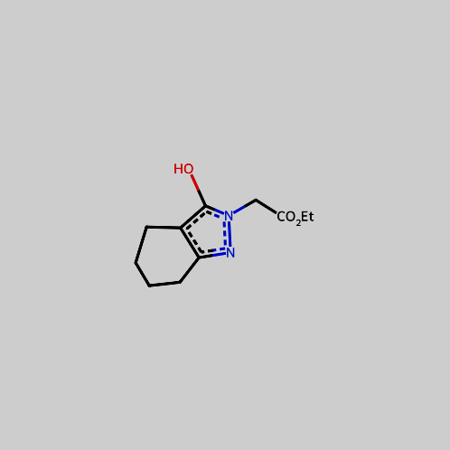 CCOC(=O)Cn1nc2c(c1O)CCCC2